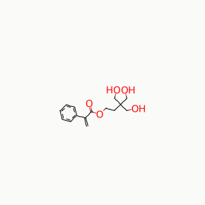 C=C(C(=O)OCCC(CO)(CO)CO)c1ccccc1